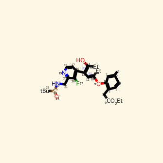 CCOC(=O)Cc1ccc(C)cc1O/C(=C/C(=C(/O)CC)c1ccnc(CN[S+]([O-])C(C)(C)C)c1F)CC